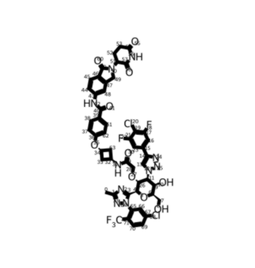 Cc1nc([C@@H]2O[C@H](CO)[C@H](O)[C@H](n3cc(-c4cc(F)c(Cl)c(F)c4)nn3)[C@H]2OCC(=O)N[C@H]2C[C@H](Oc3ccc(C(=O)Nc4ccc5c(c4)CN(C4CCC(=O)NC4=O)C5=O)cc3)C2)n(-c2cc(Cl)ccc2C(F)(F)F)n1